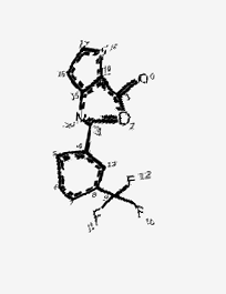 O=c1oc(-c2cccc(C(F)(F)F)c2)nc2ccsc12